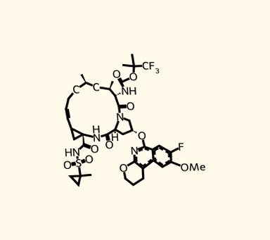 COc1cc2c3c(nc(O[C@@H]4C[C@H]5C(=O)N[C@]6(C(=O)NS(=O)(=O)C7(C)CC7)CC6/C=C\CC[C@@H](C)C[C@@H](C)[C@H](NC(=O)OC(C)(C)C(F)(F)F)C(=O)N5C4)c2cc1F)OCCC3